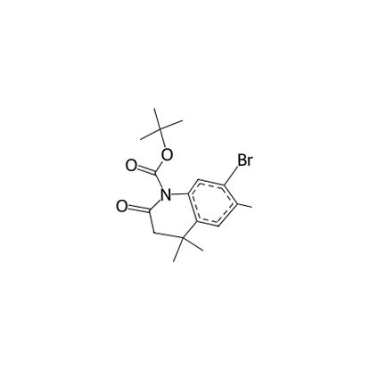 Cc1cc2c(cc1Br)N(C(=O)OC(C)(C)C)C(=O)CC2(C)C